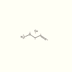 COCC=O.[Cu]